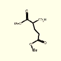 COC(=O)C(CCC(=O)OC(C)(C)C)C(=O)O